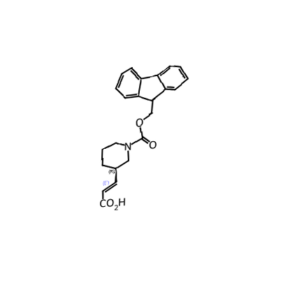 O=C(O)/C=C/[C@H]1CCCN(C(=O)OCC2c3ccccc3-c3ccccc32)C1